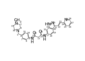 CN1CCN(Cc2ccc(NC(=O)CC(=O)Nc3ccc4c(/C=C/c5ccccn5)n[nH]c4c3)cc2)CC1